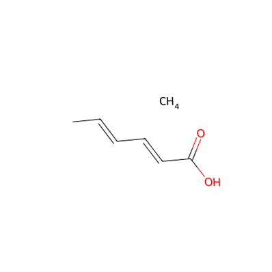 C.C/C=C/C=C/C(=O)O